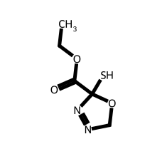 CCOC(=O)C1(S)N=NCO1